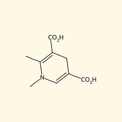 CC1=C(C(=O)O)CC(C(=O)O)=CN1C